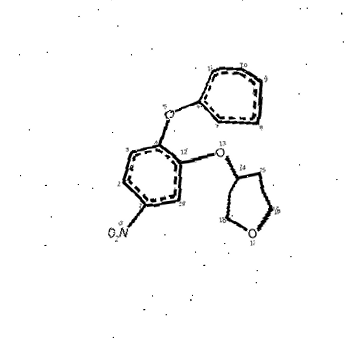 O=[N+]([O-])c1ccc(Oc2ccccc2)c(OC2CCOC2)c1